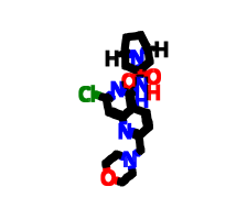 O=C(O)N1[C@@H]2CC[C@H]1CC(Nc1nc(Cl)cc3nc(CN4CCOCC4)ccc13)C2